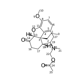 CCC[C@]12c3c4ccc(OC)c3O[C@H]1C(=O)CC[C@H]2[C@H](N(C)COC(C)=O)C4